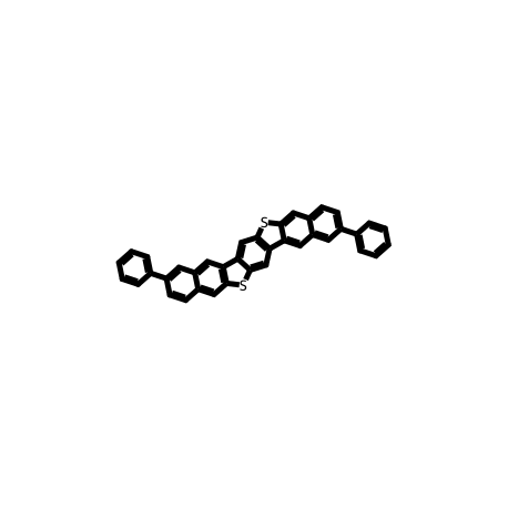 c1ccc(-c2ccc3cc4sc5cc6c(cc5c4cc3c2)sc2cc3ccc(-c4ccccc4)cc3cc26)cc1